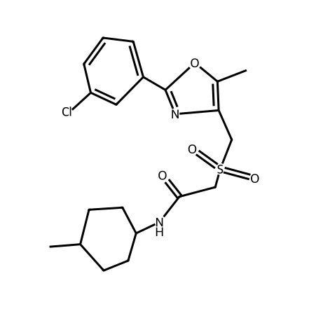 Cc1oc(-c2cccc(Cl)c2)nc1CS(=O)(=O)CC(=O)NC1CCC(C)CC1